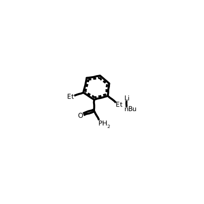 CCc1cccc(CC)c1C(=O)P.[Li][CH2]CCC